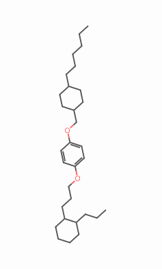 CCCCCCC1CCC(COc2ccc(OCCCC3CCCCC3CCC)cc2)CC1